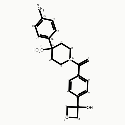 C=C(c1ccc(C2(O)COC2)cc1)N1CCC(C(=O)O)(c2ccc(C(F)(F)F)cc2)CC1